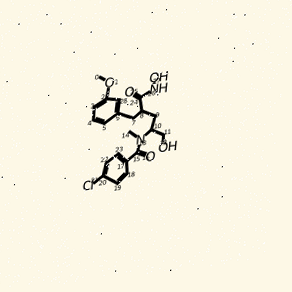 COc1cccc(CC(CC(CO)N(C)C(=O)c2ccc(Cl)cc2)C(=O)NO)c1